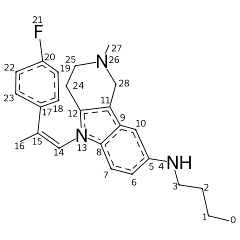 CCCCNc1ccc2c(c1)c1c(n2/C=C(/C)c2ccc(F)cc2)CCN(C)C1